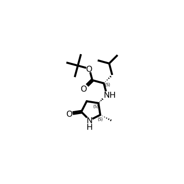 CC(C)C[C@H](N[C@H]1CC(=O)N[C@H]1C)C(=O)OC(C)(C)C